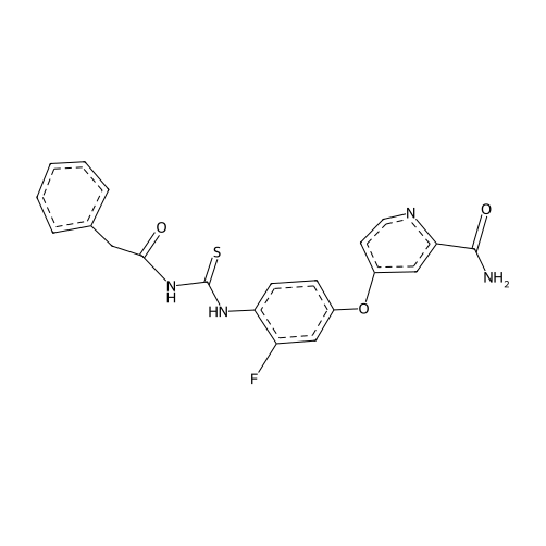 NC(=O)c1cc(Oc2ccc(NC(=S)NC(=O)Cc3ccccc3)c(F)c2)ccn1